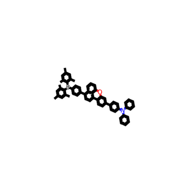 Cc1cc(C)c(B(c2ccc(-c3ccc4c5c(cccc35)Oc3cc(-c5ccc(N(c6ccccc6)c6ccccc6)cc5)ccc3-4)cc2)c2c(C)cc(C)cc2C)c(C)c1